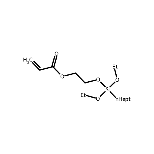 C=CC(=O)OCCO[Si](CCCCCCC)(OCC)OCC